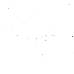 CCCC(OCC1(C)CO1)Oc1ccc(-c2ccc(C#N)cc2)cc1